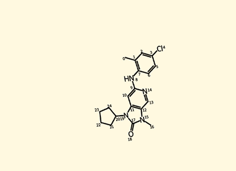 Cc1cc(Cl)ccc1Nc1cc2c(cn1)n(C)c(=O)n2C1CCCC1